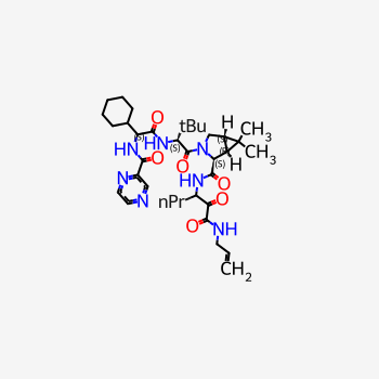 C=CCNC(=O)C(=O)C(CCC)NC(=O)[C@@H]1[C@@H]2[C@H](CN1C(=O)[C@@H](NC(=O)[C@@H](NC(=O)c1cnccn1)C1CCCCC1)C(C)(C)C)C2(C)C